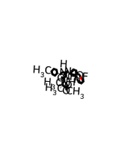 COC(=O)[C@H](C)[C@H](C)NC(=O)N/C(=N\c1ccc(Oc2ncccc2F)cc1)NC[C@H]1CC[C@H](C)CC1